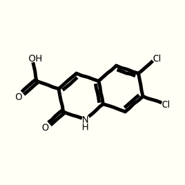 O=C(O)c1cc2cc(Cl)c(Cl)cc2[nH]c1=O